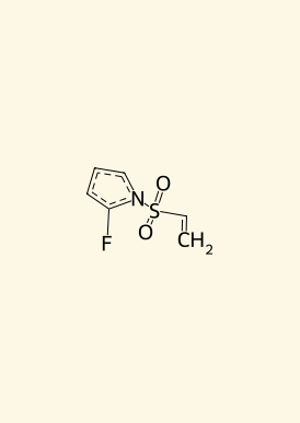 C=CS(=O)(=O)n1cccc1F